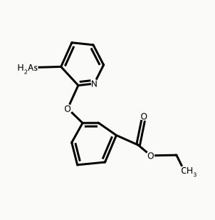 CCOC(=O)c1cccc(Oc2ncccc2[AsH2])c1